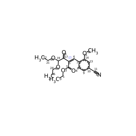 CCOC(=O)/C(=C\c1ccc(C#N)cc1OC)C(=O)C(OCC)OCC